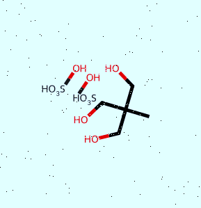 CC(CO)(CO)CO.O=S(=O)(O)O.O=S(=O)(O)O